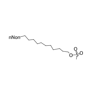 CCCCCCCCCCCCCCCCCCCCOS(C)(=O)=O